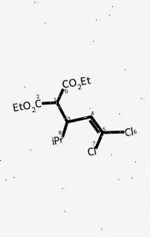 CCOC(=O)C(C(=O)OCC)C(C=C(Cl)Cl)C(C)C